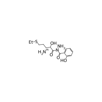 CCSCC[C@@H](N)C(O)C(=O)N(N)C(=O)c1ccccc1O